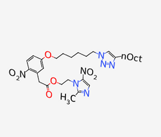 CCCCCCCCc1cn(CCCCCCOc2ccc([N+](=O)[O-])c(CC(=O)OCCn3c([N+](=O)[O-])cnc3C)c2)nn1